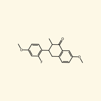 COc1ccc(C2Cc3ccc(OC)cc3C(=O)C2C)c(F)c1